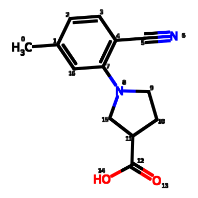 Cc1ccc(C#N)c(N2CCC(C(=O)O)C2)c1